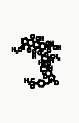 COc1cccc2c1C(=O)c1c(O)c3c(c(O)c1C2=O)C[C@@](O)(C(=O)CO)C[C@@H]3O[C@H]1C[C@H]2[C@H](O[C@@H]3C(CC4CC(=O)N(CC5CCC(C(C)=O)CC5)C4=O)OCCN32)[C@H](C)O1